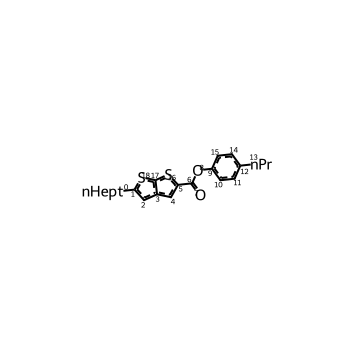 CCCCCCCc1cc2cc(C(=O)Oc3ccc(CCC)cc3)sc2s1